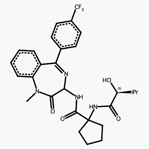 CC(C)[C@H](O)C(=O)NC1(C(=O)NC2N=C(c3ccc(C(F)(F)F)cc3)c3ccccc3N(C)C2=O)CCCC1